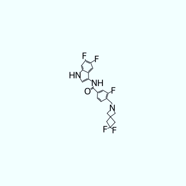 O=C(Nc1c[nH]c2cc(F)c(F)cc12)c1ccc(CN2CC3(C2)CC(F)(F)C3)c(F)c1